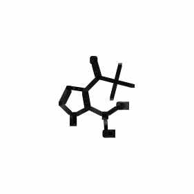 CC(C)(C)C(=O)c1cc[nH]c1B(O)O